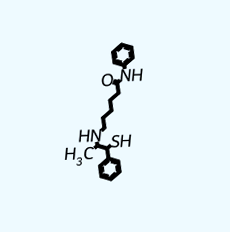 CC(NCCCCCC(=O)Nc1ccccc1)C(S)c1ccccc1